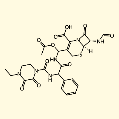 CCN1CCN(C(=O)NC(C(=O)NC(OC(C)=O)C2=C(C(=O)O)N3C(=O)[C@H](NC=O)[C@H]3SC2)c2ccccc2)C(=O)C1=O